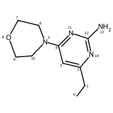 CCc1cc(N2CCOCC2)nc(N)n1